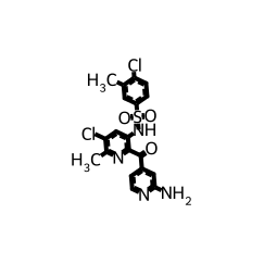 Cc1cc(S(=O)(=O)Nc2cc(Cl)c(C)nc2C(=O)c2ccnc(N)c2)ccc1Cl